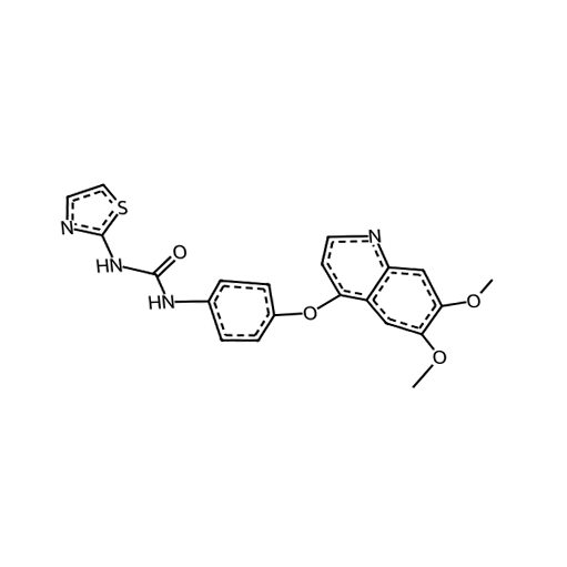 COc1cc2nccc(Oc3ccc(NC(=O)Nc4nccs4)cc3)c2cc1OC